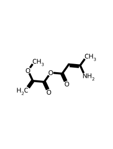 C=C(OC)C(=O)OC(=O)C=C(C)N